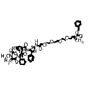 C[C@@H](C(=O)N[C@H](C(=O)N1CCC[C@H]1C(=O)Nc1sc(NC(=O)COCCOCCOCCOCCN(C)C(=O)OCc2ccccc2)nc1-c1ccccc1)C1CCCCC1)N(C)C(=O)OC(C)(C)C